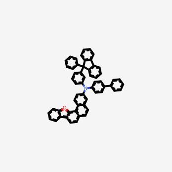 c1ccc(-c2ccc(N(c3cccc(C4(c5ccccc5)c5ccccc5-c5ccccc54)c3)c3ccc4c(ccc5ccc6c7ccccc7oc6c54)c3)cc2)cc1